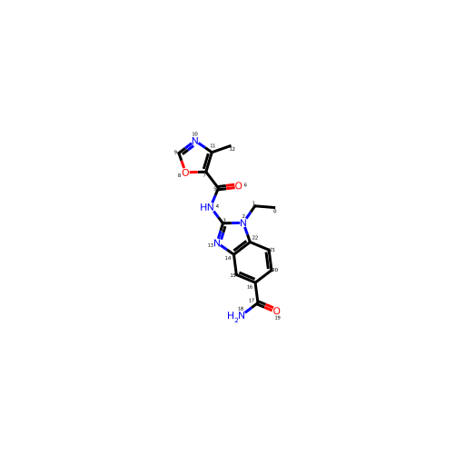 CCn1c(NC(=O)c2ocnc2C)nc2cc(C(N)=O)ccc21